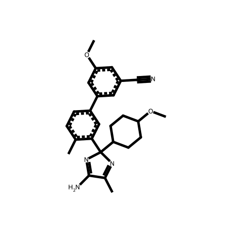 COc1cc(C#N)cc(-c2ccc(C)c(C3(C4CCC(OC)CC4)N=C(C)C(N)=N3)c2)c1